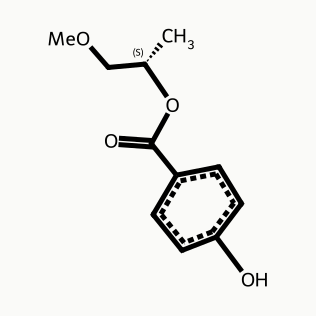 COC[C@H](C)OC(=O)c1ccc(O)cc1